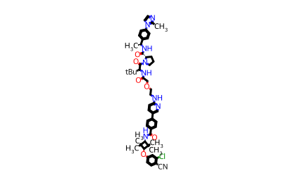 Cc1nccn1-c1ccc([C@H](C)NC(=O)[C@@H]2CCCN2C(=O)C(NC(=O)COCCNc2ccc(-c3ccc(C(=O)N[C@H]4C(C)(C)[C@H](Oc5ccc(C#N)c(Cl)c5)C4(C)C)cc3)cn2)C(C)(C)C)cc1